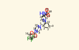 Cc1ccc(CN2CCN(C(=O)OC(C)C(F)(F)F)CC2)c(N2CC[C@@H](NS(C)(=O)=O)C2)c1